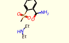 CCNCC.CS(=O)(=O)c1ccccc1C(N)=O